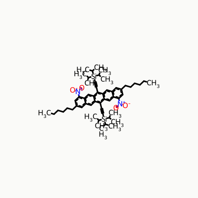 CCCCCCc1cc([N+](=O)[O-])c2cc3c(C#C[Si](C(C)C)(C(C)C)C(C)C)c4cc5cc(CCCCCC)cc([N+](=O)[O-])c5cc4c(C#C[Si](C(C)C)(C(C)C)C(C)C)c3cc2c1